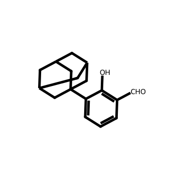 O=Cc1cccc(C23CC4CC(CC(C4)C2)C3)c1O